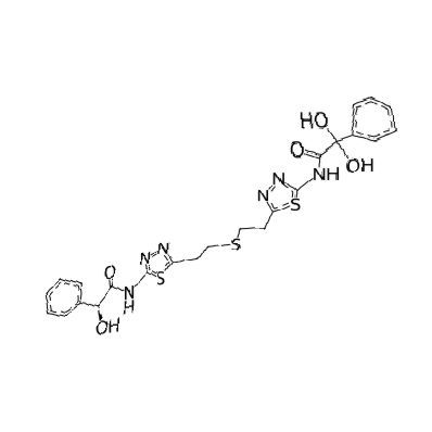 O=C(Nc1nnc(CCSCCc2nnc(NC(=O)C(O)(O)c3ccccc3)s2)s1)[C@@H](O)c1ccccc1